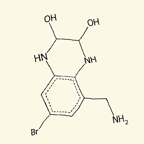 NCc1cc(Br)cc2c1NC(O)C(O)N2